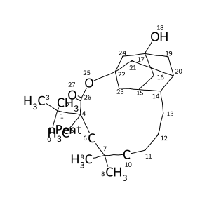 CCCCCC(C)(C)C1(C)CC(C)(C)CCCCC2C3CC4(O)CC2CC(C3)(C4)OC1=O